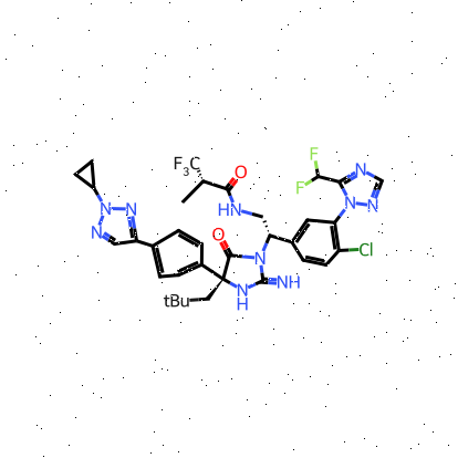 C[C@@H](C(=O)NC[C@H](c1ccc(Cl)c(-n2ncnc2C(F)F)c1)N1C(=N)N[C@](CC(C)(C)C)(c2ccc(-c3cnn(C4CC4)n3)cc2)C1=O)C(F)(F)F